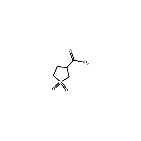 NC(=O)C1CCS(=O)(=O)C1